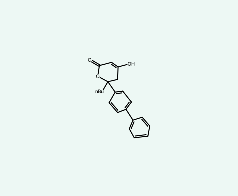 CCCCC1(c2ccc(-c3ccccc3)cc2)CC(O)=CC(=O)O1